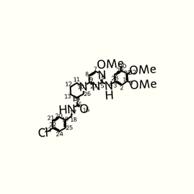 COc1cc(Nc2nccc(N3CCC[C@H](C(=O)NCc4ccc(Cl)cc4)C3)n2)cc(OC)c1OC